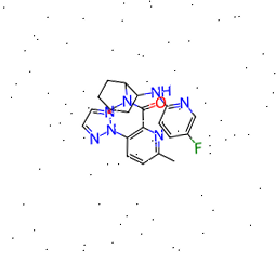 Cc1ccc(-n2nccn2)c(C(=O)N2C3CCC2C(Nc2ccc(F)cn2)C3)n1